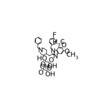 COc1cc2nc(CC3CCN(Cc4ccccc4)CC3)n(Cc3ccc(F)cc3)c2cc1OC.O=C(O)C(=O)O.O=C(O)C(=O)O